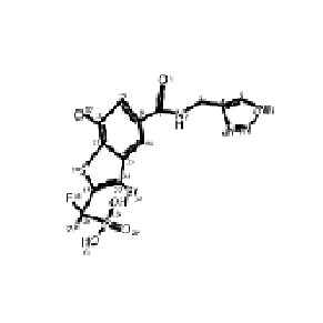 O=C(NCc1c[nH]nn1)c1cc(Cl)c2sc(C(F)(F)P(=O)(O)O)c(Br)c2c1